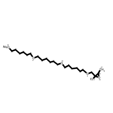 CCC1(COCCCCCCOCCCCCCOCCCCCCOC)OC1C